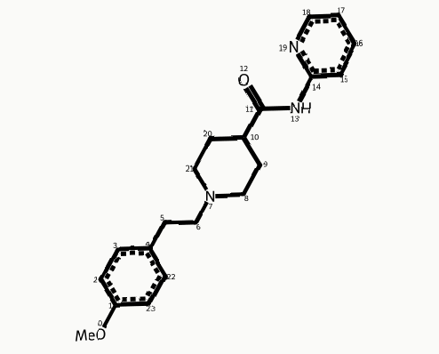 COc1ccc(CCN2CCC(C(=O)Nc3ccccn3)CC2)cc1